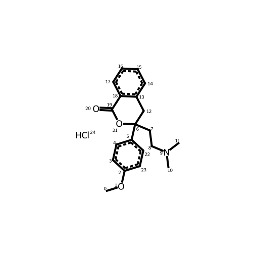 COc1ccc(C2(CCN(C)C)Cc3ccccc3C(=O)O2)cc1.Cl